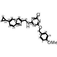 COc1ccc(COc2nc(Cl)nc(NCc3cn4cc(C5CC5)ccc4n3)n2)cc1